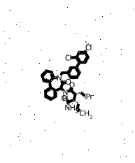 C=CC[C@H](C(N)=O)[C@@H](CC(C)C)C(=O)NC1C(=O)N(Cc2cccc(-c3ccc(Cl)cc3Cl)c2)c2ccccc2-c2ccccc21